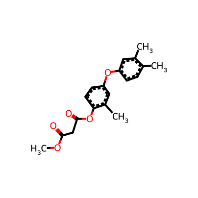 COC(=O)CC(=O)Oc1ccc(Oc2ccc(C)c(C)c2)cc1C